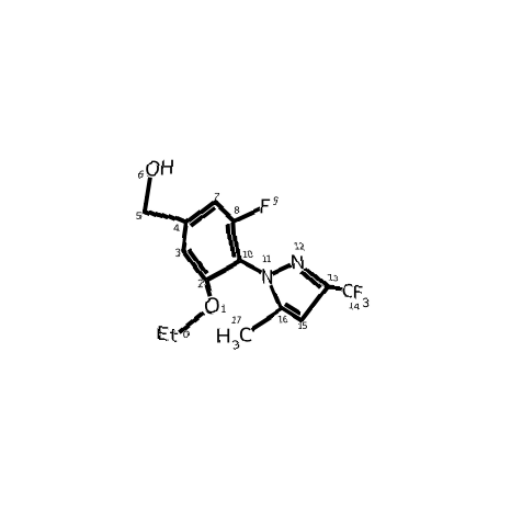 CCOc1cc(CO)cc(F)c1-n1nc(C(F)(F)F)cc1C